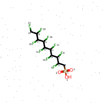 O=S(=O)(O)CC(F)C(F)C(F)C(F)C(F)C(F)C(F)C(F)CF